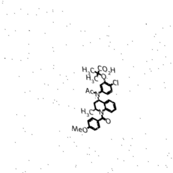 COc1ccc(C(=O)N2c3ccccc3[C@H](N(C(C)=O)c3ccc(Cl)c(OC(C)(C)C(=O)O)c3)C[C@@H]2C)cc1